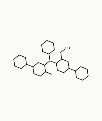 CC1CCC(C2CCCCC2)CC1C(C1CCCCC1)C1CCC(C2CCCCC2)CC1CO